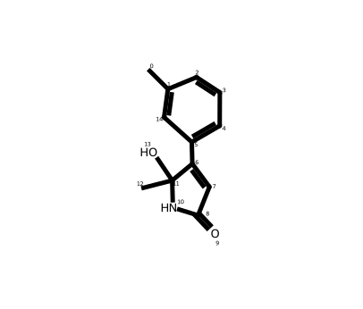 Cc1cccc(C2=CC(=O)NC2(C)O)c1